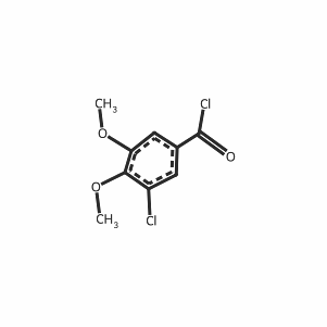 COc1cc(C(=O)Cl)cc(Cl)c1OC